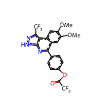 COc1cc2c(-c3ccc(OC(=O)C(F)(F)F)cc3)nc3[nH]nc(C(F)(F)F)c3c2cc1OC